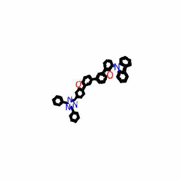 c1ccc(-c2nc(-c3ccccc3)nc(-c3ccc4c(c3)oc3ccc(-c5ccc6oc7c(-n8c9ccccc9c9ccccc98)cccc7c6c5)cc34)n2)cc1